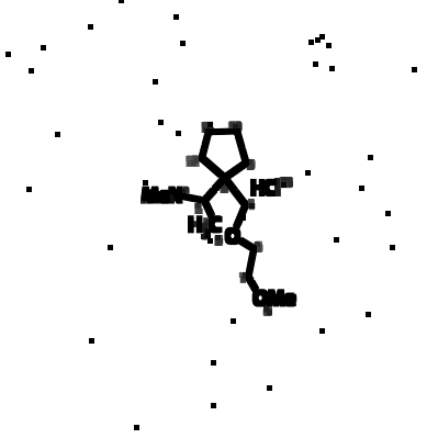 CNC(C)C1(COCCOC)CCCC1.Cl